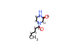 CCCCC(=O)N1CCNC(=O)C1